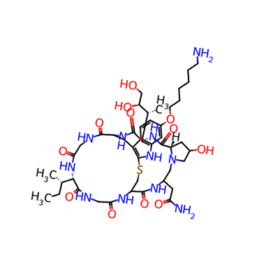 CC[C@H](C)[C@@H]1NC(=O)CNC(=O)C2Cc3c([nH]c4cc(OCCCCCCN)ccc34)SCC(NC(=O)CNC1=O)C(=O)NC(CC(N)=O)CN1CC(O)C[C@H]1C(=O)N[C@@H]([C@@H](C)[C@@H](O)CO)C(=O)N2